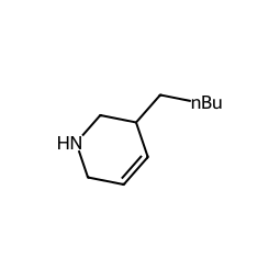 CCCCCC1C=CCNC1